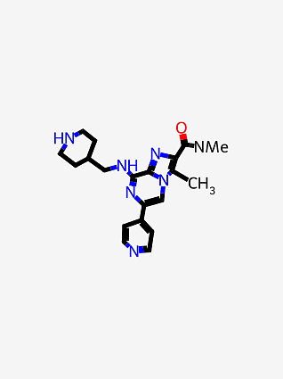 CNC(=O)c1nc2c(NCC3CCNCC3)nc(-c3ccncc3)cn2c1C